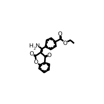 CCOC(=O)c1ccc(/C(N)=C2/C(=O)Oc3ccccc3C2=O)cc1